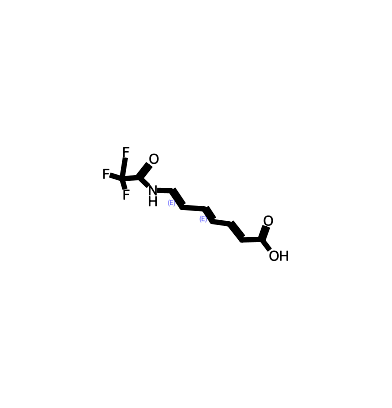 O=C(O)C=C/C=C/C=C/NC(=O)C(F)(F)F